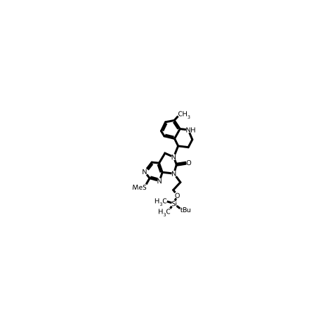 CSc1ncc2c(n1)N(CCO[Si](C)(C)C(C)(C)C)C(=O)N(C1CCNc3c(C)cccc31)C2